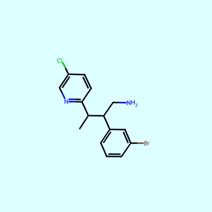 CC(c1ccc(Cl)cn1)C(CN)c1cccc(Br)c1